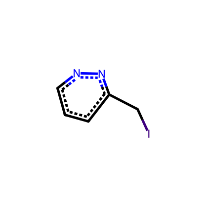 ICc1cccnn1